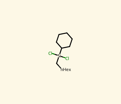 CCCCCCC[Si](Cl)(Cl)C1CCCCC1